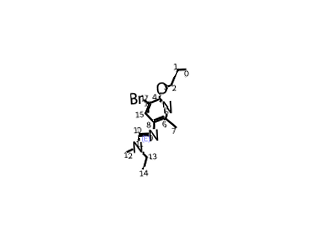 CCCOc1nc(C)c(/N=C/N(C)CC)cc1Br